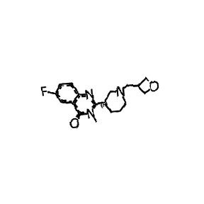 Cn1c([C@@H]2CCCN(CC3COC3)C2)nc2ccc(F)cc2c1=O